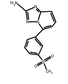 CS(=O)(=O)c1cccc(-c2cccc3nc(N)nn23)c1